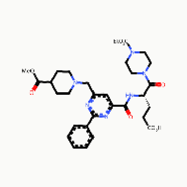 CCOC(=O)N1CCN(C(=O)[C@H](CCC(=O)O)NC(=O)c2cc(CN3CCC(C(=O)OC)CC3)nc(-c3ccccc3)n2)CC1